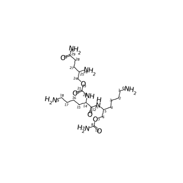 NCCCCC(COC(N)=O)NC(=O)C(CCCCN)NC(=O)OCC(N)CCC(N)=O